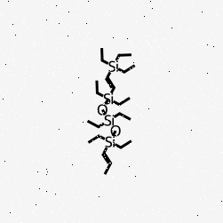 CC=C[Si](CC)(CC)O[Si](CC)(CC)O[Si](C=C[Si](CC)(CC)CC)(CC)CC